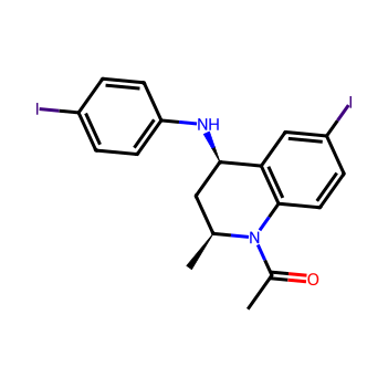 CC(=O)N1c2ccc(I)cc2[C@H](Nc2ccc(I)cc2)C[C@@H]1C